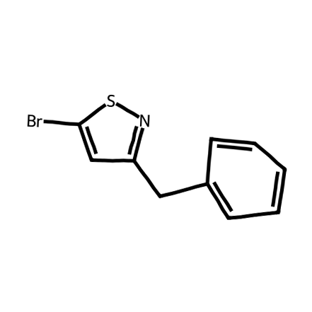 Brc1cc(Cc2ccccc2)ns1